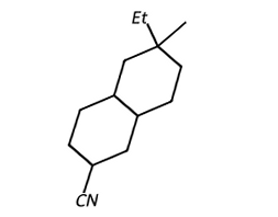 CCC1(C)CCC2CC(C#N)CCC2C1